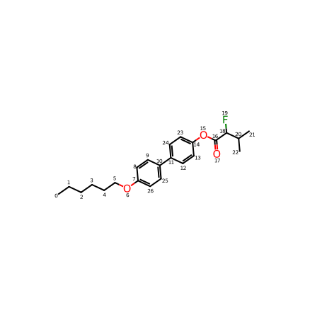 CCCCCCOc1ccc(-c2ccc(OC(=O)C(F)C(C)C)cc2)cc1